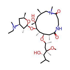 CCN(C)[C@H]1C[C@@H](C)O[C@@H](O[C@@H]2[C@@H](C)[C@H](O[C@H](C)C[C@@](C)(OC)[C@@H](O)C(C)C)[C@@H](C)C(=O)NCCC(=O)N(C)C[C@H](C)C[C@@]2(C)O)[C@@H]1C